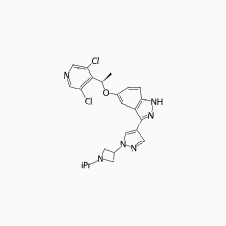 CC(C)N1CC(n2cc(-c3n[nH]c4ccc(O[C@H](C)c5c(Cl)cncc5Cl)cc34)cn2)C1